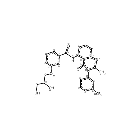 Cc1nc2cccc(NC(=O)c3cccc(OCC(O)CO)n3)c2c(=O)n1-c1cccc(C(F)(F)F)c1